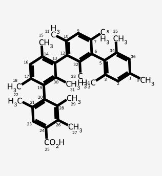 Cc1cc(C)c(-c2c(C)cc(C)c(-c3c(C)cc(C)c(-c4c(C)cc(C(=O)O)c(C)c4C)c3C)c2C)c(C)c1